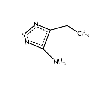 CCc1nsnc1N